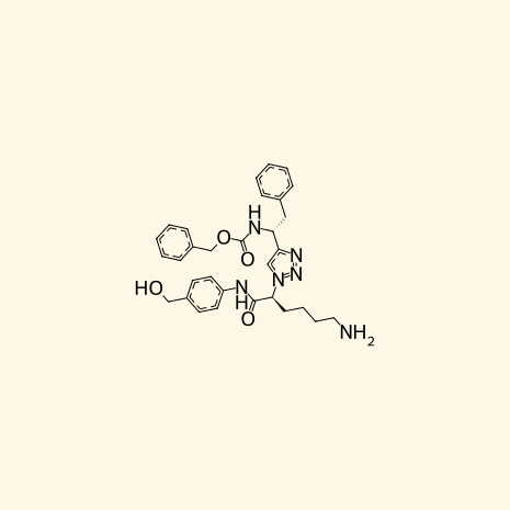 NCCCC[C@@H](C(=O)Nc1ccc(CO)cc1)n1cc([C@@H](Cc2ccccc2)NC(=O)OCc2ccccc2)nn1